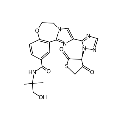 CC(C)(CO)NC(=O)c1ccc2c(c1)-c1nc(-c3ncnn3[C@H]3C(=O)CSC3=O)cn1CCO2